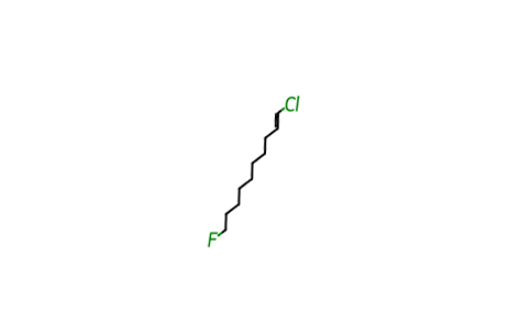 FCCCCCCCCC=CCl